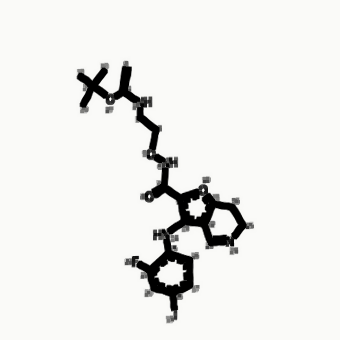 C=C(NCCONC(=O)c1oc2c(c1Nc1ccc(I)cc1F)C=NCC2)OC(C)(C)C